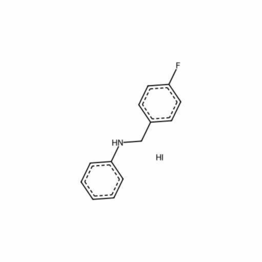 Fc1ccc(CNc2ccccc2)cc1.I